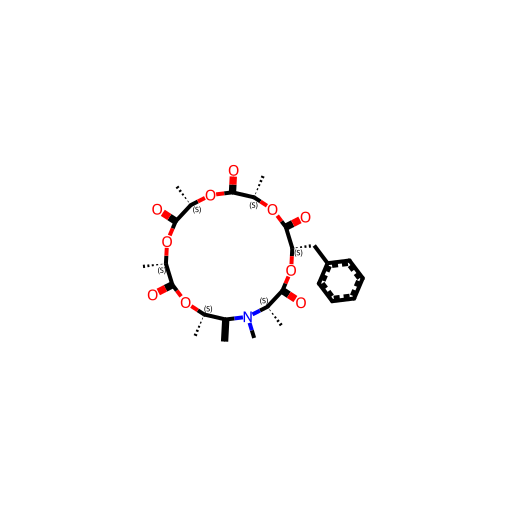 C=C1[C@H](C)OC(=O)[C@H](C)OC(=O)[C@H](C)OC(=O)[C@H](C)OC(=O)[C@H](Cc2ccccc2)OC(=O)[C@H](C)N1C